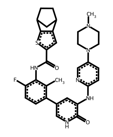 Cc1c(-c2c[nH]c(=O)c(Nc3ccc(N4CCN(C)CC4)cn3)c2)ccc(F)c1NC(=O)c1cc2c(s1)C1CCC2C1